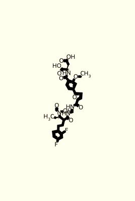 CCOc1cc(-c2ccc(C(=O)NCNC(=O)C(CCc3ccc(F)cc3F)[C@@H](CC)N(O)C=O)o2)ccc1C(=O)N[C@H](CC(=O)O)C(=O)O